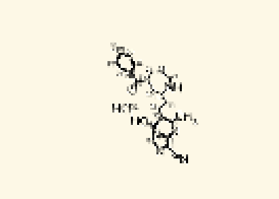 Cc1nc2c(C#N)ncn2c(O)c1CCC1CC(C(=O)c2ccc(F)cc2)CCCN1.Cl